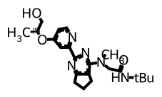 C[C@@H](CO)Oc1ccnc(-c2nc3c(c(N(C)CC(=O)NC(C)(C)C)n2)CCC3)c1